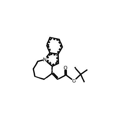 CC(C)(C)OC(=O)/C=C1/CCCCn2c1cc1ccccc12